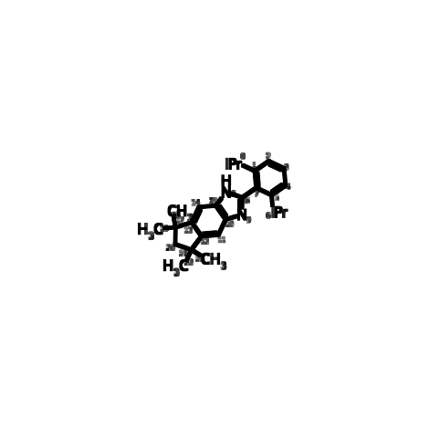 CC(C)c1cccc(C(C)C)c1-c1nc2cc3c(cc2[nH]1)C(C)(C)CC3(C)C